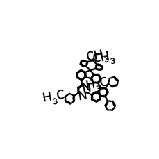 CC1C=CC=C(c2cc(-c3cccc4c3-c3cc(-c5ccc(C6=CCCC=C6)cc5C5(C)C=CC=CC5)ccc3C43c4ccccc4C(C)(C)c4ccccc43)nc(-c3ccccc3)n2)C1